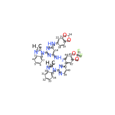 Cc1nc2ccccc2n1-c1nc(N)cc(Nc2ccc3c(c2)OCO3)n1.Cc1nc2ccccc2n1-c1nccc(-c2ccc3c(c2)OC(F)(F)O3)n1